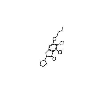 CCCCOc1cc2c(c(Cl)c1Cl)C(=O)C(C1CCCC1)C2